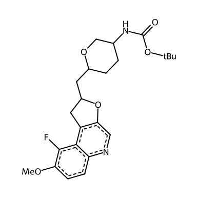 COc1ccc2ncc3c(c2c1F)CC(CC1CCC(NC(=O)OC(C)(C)C)CO1)O3